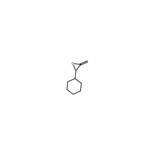 C=C1OC1C1CCCCC1